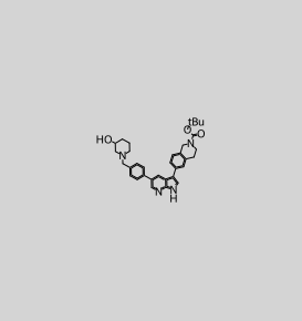 CC(C)(C)OC(=O)N1CCc2cc(-c3c[nH]c4ncc(-c5ccc(CN6CCCC(O)C6)cc5)cc34)ccc2C1